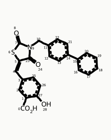 O=C(O)c1cc(C=C2SC(=O)N(Cc3ccc(-c4ccccc4)cc3)C2=O)ccc1O